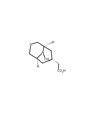 CN1[C@@H]2COC[C@H]1C[C@H](CC(=O)O)C2